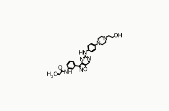 C=CC(=O)Nc1cccc(-c2noc3cnc(Nc4ccc(N5CCN(CCO)CC5)cc4)nc23)c1